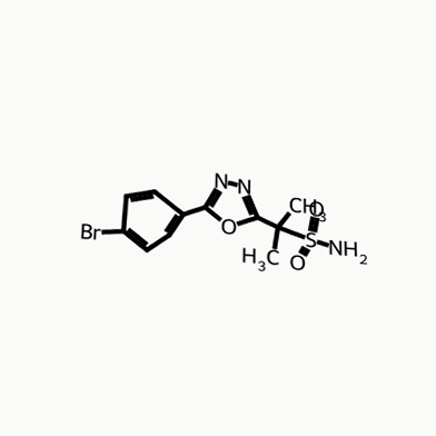 CC(C)(c1nnc(-c2ccc(Br)cc2)o1)S(N)(=O)=O